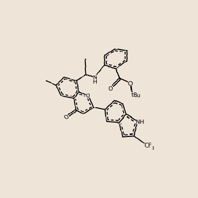 Cc1cc(C(C)Nc2ccccc2C(=O)OC(C)(C)C)c2oc(-c3ccc4[nH]c(C(F)(F)F)cc4c3)cc(=O)c2c1